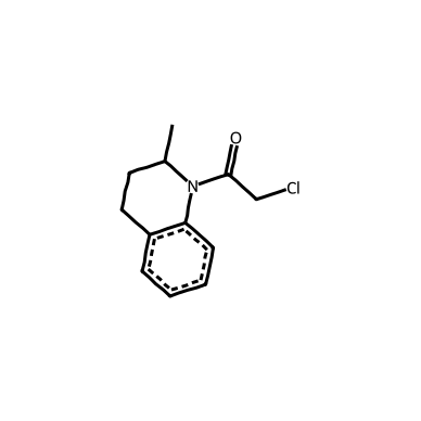 CC1CCc2ccccc2N1C(=O)CCl